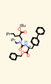 CC(C)CCC(CN(CC(C)C)C(=O)N[C@@H](Cc1ccc(-c2ccccc2)cc1)C(=O)OCc1ccccc1)C(=O)OC(C)(C)C